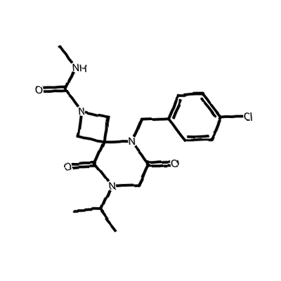 CNC(=O)N1CC2(C1)C(=O)N(C(C)C)CC(=O)N2Cc1ccc(Cl)cc1